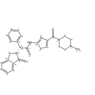 CN1CCN(C(=O)c2csc(NC(=O)[C@@H](c3ccccc3)N3Cc4ccccc4C3=O)n2)CC1